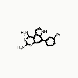 CC(C)c1cccc(-c2cc3nc(N)nc(N)c3c3cc[nH]c23)c1